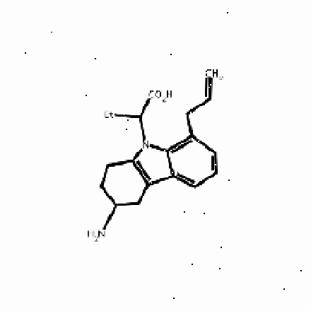 C=CCc1cccc2c3c(n(C(CC)C(=O)O)c12)CCC(N)C3